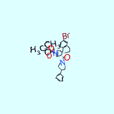 CC(C)(C)OC(=O)N1C[C@@H](C(=O)N2CCC(c3ccccc3)CC2)[C@@]2(CCCc3cc(Br)ccc32)C1